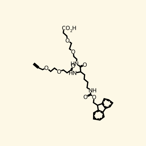 C#CCOCCOCCC(=O)NC(CCCCNC(=O)OCC1c2ccccc2-c2ccccc21)C(=O)NCCOCCOCCC(=O)O